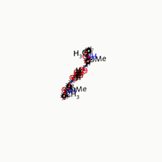 COc1cc(/C=C/C(=O)O[C@H]2CO[C@H]3[C@@H]2OC[C@H]3OC(=O)/C=C/c2ccc(NC(=O)c3ccccc3C)c(OC)c2)ccc1NC(=O)c1ccccc1C